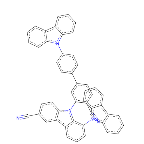 N#Cc1ccc2c(c1)c1cccc(-n3c4ccccc4c4ccccc43)c1n2-c1cc(-c2ccc(-n3c4ccccc4c4ccccc43)cc2)ccc1C#N